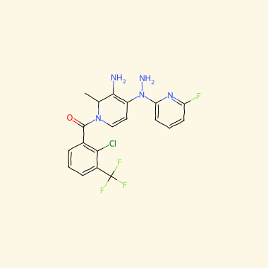 CC1C(N)=C(N(N)c2cccc(F)n2)C=CN1C(=O)c1cccc(C(F)(F)F)c1Cl